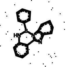 c1ccc(B2Nc3ccccc3-c3nc4ccccc4n32)cc1